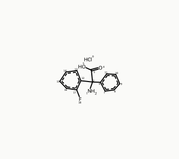 Cl.NC(C(=O)O)(c1ccccc1)c1ccccc1F